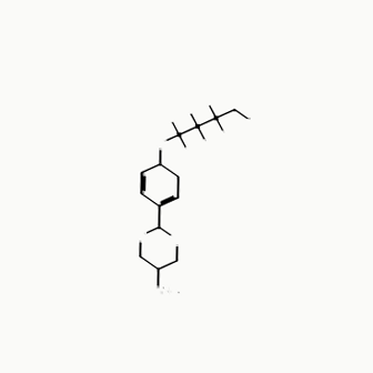 CCCCCCCCCC1COC(C2=CCC(OC(F)(F)C(F)(F)C(F)(F)CF)C=C2)OC1